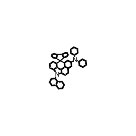 c1ccc(N(c2ccccc2)c2cc3c4c(ccc5c4c4c(cccc4n5-c4cccc5ccccc45)C34c3ccccc3-c3ccccc34)c2)cc1